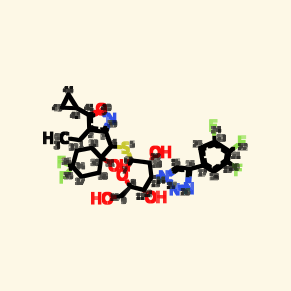 CCc1c(C(S[C@@H]2O[C@H](CO)[C@H](O)[C@H](n3cc(-c4cc(F)c(F)c(F)c4)nn3)[C@H]2O)C2(O)CCC(F)(F)CC2)noc1C1CC1